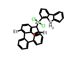 CCC1=Cc2c(ccc(CC)c2-c2ccccc2-c2ccccc2)[CH]1[Zr]([Cl])([Cl])[c]1cccc2c1[SiH2]c1ccccc1-2